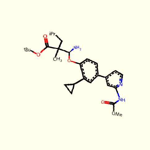 COC(=O)Nc1cc(-c2ccc(O[C@H](N)C(C)(CC(C)C)C(=O)OC(C)(C)C)c(C3CC3)c2)ccn1